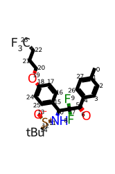 Cc1ccc(C(=O)C(F)(F)C(N[S+]([O-])C(C)(C)C)c2ccc(OCCCC(F)(F)F)cc2)cc1